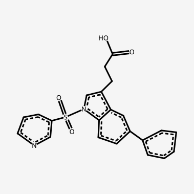 O=C(O)CCc1cn(S(=O)(=O)c2cccnc2)c2ccc(-c3ccccc3)cc12